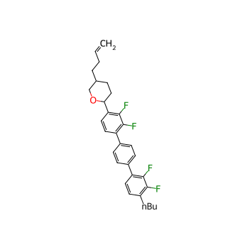 C=CCCC1CCC(c2ccc(-c3ccc(-c4ccc(CCCC)c(F)c4F)cc3)c(F)c2F)OC1